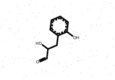 O=CC(O)Cc1ccccc1O